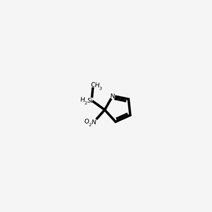 C[SiH2]C1([N+](=O)[O-])C=CC=N1